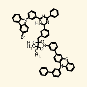 CC1(C)OB(c2cccc(-c3ccc4c(c3)Sc3ccccc3N4c3cccc(-c4ccccc4)c3)c2)OC1(C)Cc1cccc(C2N=C(c3ccccc3)N=C(c3cccc(-n4c5ccccc5c5cc(Br)ccc54)c3)N2)c1